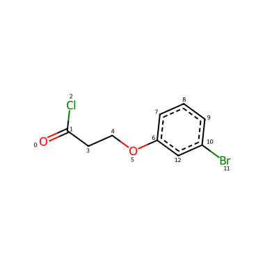 O=C(Cl)CCOc1cccc(Br)c1